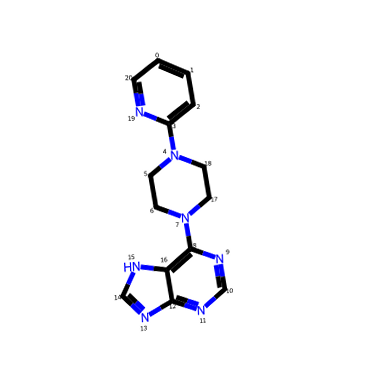 c1ccc(N2CCN(c3ncnc4nc[nH]c34)CC2)nc1